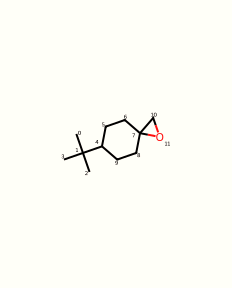 CC(C)(C)C1CCC2(CC1)CO2